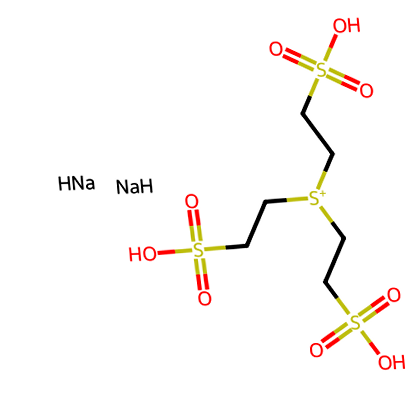 O=S(=O)(O)CC[S+](CCS(=O)(=O)O)CCS(=O)(=O)O.[NaH].[NaH]